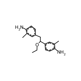 CCOC(Cc1ccc(N)c(C)c1)c1ccc(N)c(C)c1